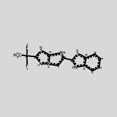 CC(F)(F)c1nn2cc(-c3nc4ccccc4s3)nc2s1